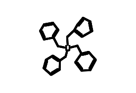 c1ccc([CH2][U]([CH2]c2ccccc2)([CH2]c2ccccc2)[CH2]c2ccccc2)cc1